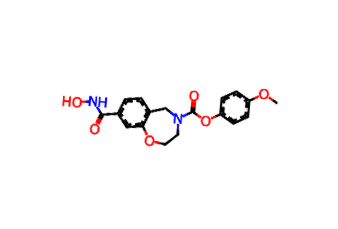 COc1ccc(OC(=O)N2CCOc3cc(C(=O)NO)ccc3C2)cc1